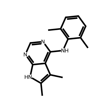 Cc1cccc(C)c1Nc1ncnc2[nH]c(C)c(C)c12